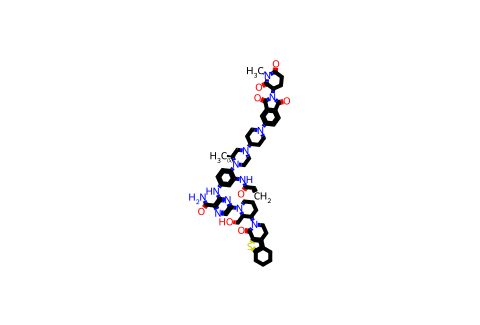 C=CC(=O)Nc1cc(Nc2nc(N3CCCC(N4CCc5c(sc6c5CCCC6)C4=O)C3CO)cnc2C(N)=O)ccc1N1CCN(C2CCN(c3ccc4c(c3)C(=O)N(C3CCC(=O)N(C)C3=O)C4=O)CC2)C[C@@H]1C